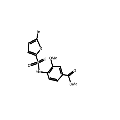 COC(=O)c1ccc(NS(=O)(=O)c2ccc(Br)s2)c(OC)c1